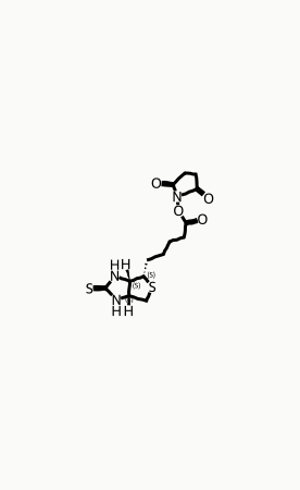 O=C(CCCC[C@@H]1SC[C@@H]2NC(=S)N[C@@H]21)ON1C(=O)CCC1=O